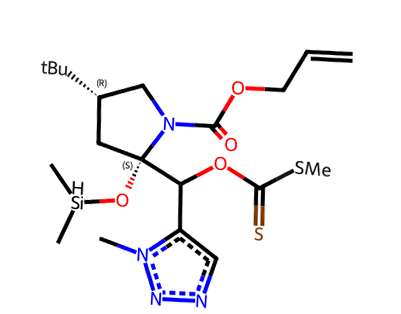 C=CCOC(=O)N1C[C@@H](C(C)(C)C)C[C@]1(O[SiH](C)C)C(OC(=S)SC)c1cnnn1C